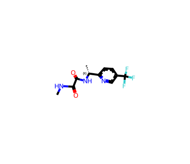 CNC(=O)C(=O)N[C@H](C)c1ccc(C(F)(F)F)cn1